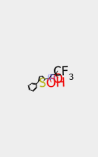 O=C(/C=C(\O)c1ccc(-c2ccccc2)s1)C(F)(F)F